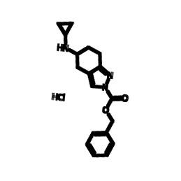 Cl.O=C(OCc1ccccc1)n1cc2c(n1)CCC(NC1CC1)C2